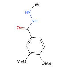 CCCCNNC(=O)c1ccc(OC)c(OC)c1